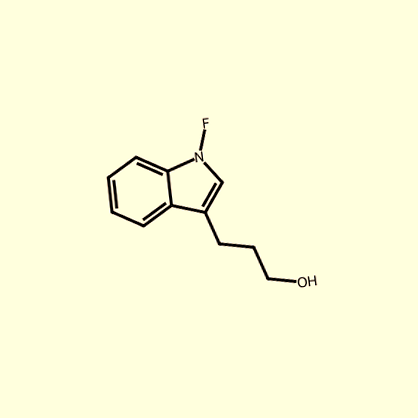 OCCCc1cn(F)c2ccccc12